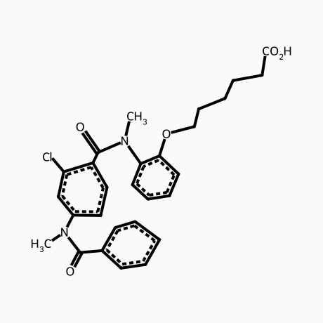 CN(C(=O)c1ccccc1)c1ccc(C(=O)N(C)c2ccccc2OCCCCCC(=O)O)c(Cl)c1